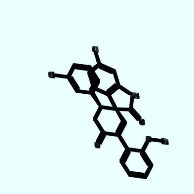 CCOc1ccccc1C1=C[C@@]2(C(=O)Nc3cc(Cl)ccc32)[C@H](c2cccc(Cl)c2)CC1=O